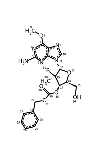 COc1nc(N)nc2c1ncn2[C@@H]1O[C@@H](CO)[C@@H](OC(=O)OCc2ccccc2)[C@@]1(C)F